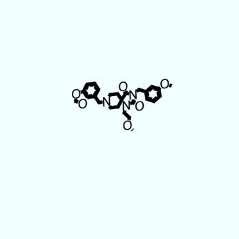 COCCN1C(=O)N(Cc2cccc(OC)c2)C(=O)C12CCN(Cc1cccc3c1OCO3)CC2